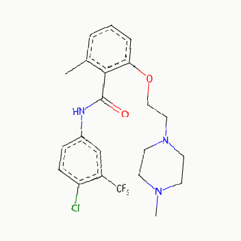 Cc1cccc(OCCN2CCN(C)CC2)c1C(=O)Nc1ccc(Cl)c(C(F)(F)F)c1